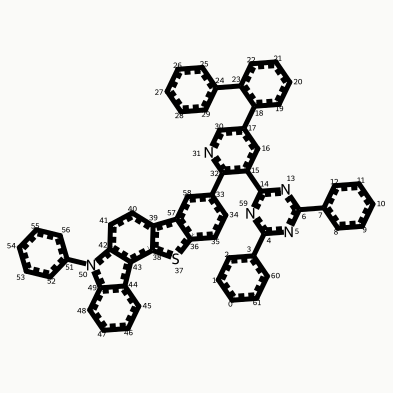 c1ccc(-c2nc(-c3ccccc3)nc(-c3cc(-c4ccccc4-c4ccccc4)cnc3-c3ccc4sc5c(ccc6c5c5ccccc5n6-c5ccccc5)c4c3)n2)cc1